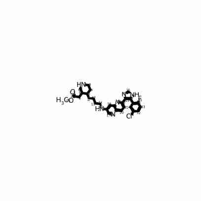 COC(=O)CC1CNCCC1CCCCNc1cnc2ccc(-c3nc[nH]c3-c3cc(Cl)ccc3F)nc2c1